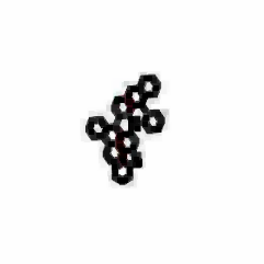 c1ccc(N(c2ccc3c(c2)sc2ccccc23)c2ccccc2-c2cc3ccccc3c3ccccc23)c(-c2cccc3ccccc23)c1